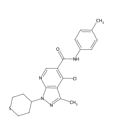 Cc1ccc(NC(=O)c2cnc3c(c(C)nn3C3CCSCC3)c2Cl)cc1